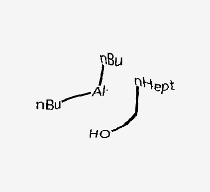 CCCCCCCCO.CCC[CH2][Al][CH2]CCC